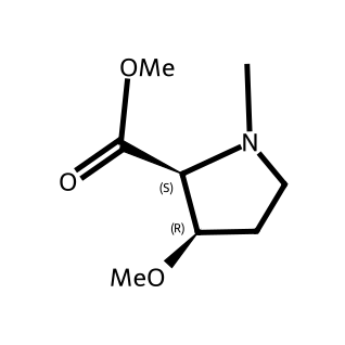 COC(=O)[C@@H]1[C@H](OC)CCN1C